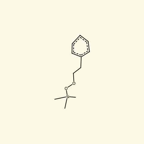 C[Si](C)(C)OOCCc1ccccc1